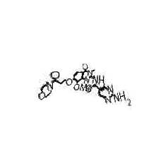 COc1c(OCCC(=O)N2CCOCC2)ccc2c(=O)n(C)c(NC(=O)c3cnc(N)nc3)nc12